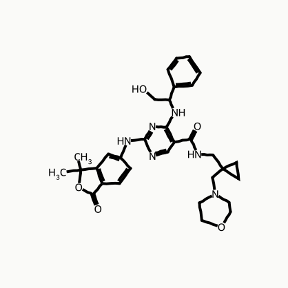 CC1(C)OC(=O)c2ccc(Nc3ncc(C(=O)NCC4(CN5CCOCC5)CC4)c(NC(CO)c4ccccc4)n3)cc21